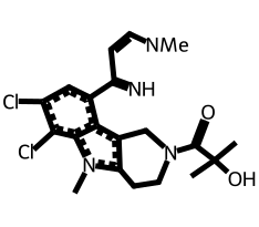 CN/C=C\C(=N)c1cc(Cl)c(Cl)c2c1c1c(n2C)CCN(C(=O)C(C)(C)O)C1